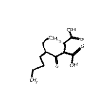 CCCCC(CC)C(=O)C(CC(=O)O)C(=O)O